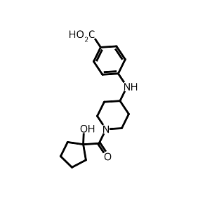 O=C(O)c1ccc(NC2CCN(C(=O)C3(O)CCCC3)CC2)cc1